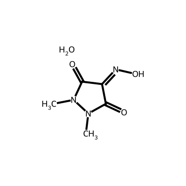 CN1C(=O)C(=NO)C(=O)N1C.O